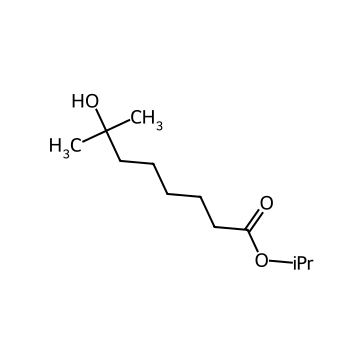 CC(C)OC(=O)CCCCCC(C)(C)O